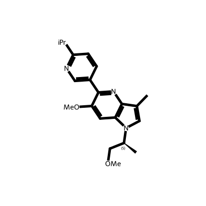 COC[C@H](C)n1cc(C)c2nc(-c3ccc(C(C)C)nc3)c(OC)cc21